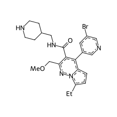 CCc1ccc2c(-c3cncc(Br)c3)c(C(=O)NCC3CCNCC3)c(COC)nn12